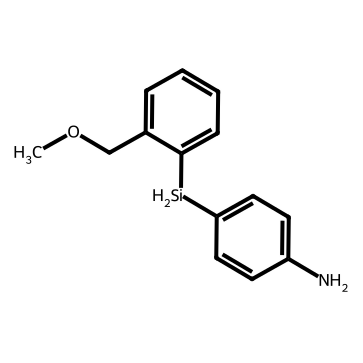 COCc1ccccc1[SiH2]c1ccc(N)cc1